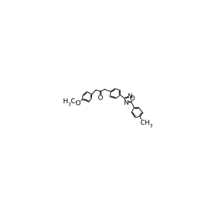 COc1ccc(CC(=O)Cc2ccc(-c3noc(-c4ccc(C)cc4)n3)cc2)cc1